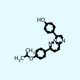 CC(C)Oc1ccc(-c2ccc3ncc(-c4ccc(O)cc4)n3n2)cc1